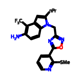 CCCc1cc2c(C(F)(F)F)c(N)ccc2n1Cc1noc(-c2cccnc2SC)n1